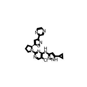 Clc1cnc(N2CCC[C@H]2c2cc(-c3cnccn3)no2)nc1Nc1cc(C2CC2)[nH]n1